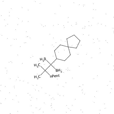 BC(B)(C1CCC2(CCCC2)CC1)C(C)(C)CCCCC